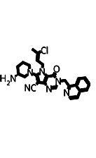 C/C(Cl)=C/Cn1c(N2CCC[C@H](N)C2)c(C#N)c2ncn(Cc3nccc4ccccc34)c(=O)c21